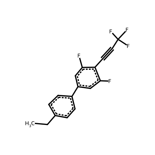 CCc1ccc(-c2cc(F)c(C#CC(F)(F)F)c(F)c2)cc1